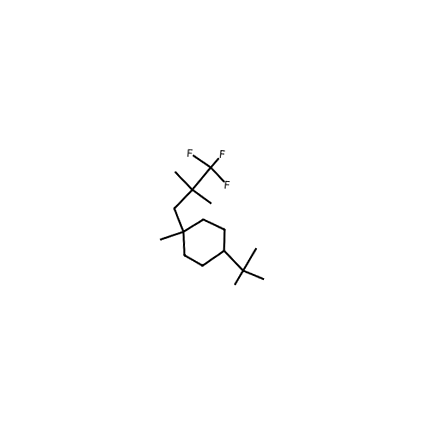 CC1(CC(C)(C)C(F)(F)F)CCC(C(C)(C)C)CC1